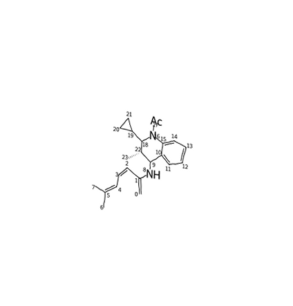 C=C(/C=C\C=C(C)C)NC1c2ccccc2N(C(C)=O)C(C2CC2)[C@H]1C